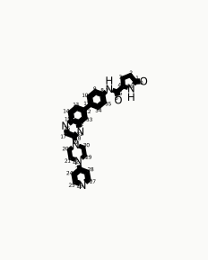 O=C1CCC(C(=O)Nc2ccc(-c3ccc4ncc(N5CCN(c6ccncc6)CC5)nc4c3)cc2)N1